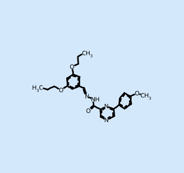 CCCOc1cc(/C=N/NC(=O)c2cncc(-c3ccc(OC)cc3)n2)cc(OCCC)c1